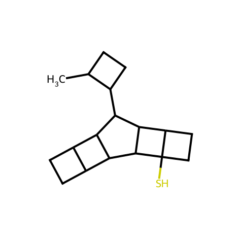 CC1CCC1C1C2C3CCC3C2C2C1C1CCC12S